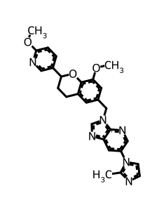 COc1ccc(C2CCc3cc(Cn4cnc5cc(-n6ccnc6C)cnc54)cc(OC)c3O2)cn1